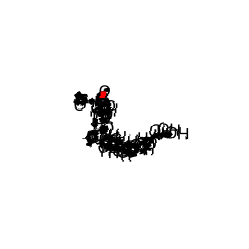 C=C1CO[C@@H](CC[C@]23C[C@@H](OC)C(O2)C2C[C@@H](O3)[C@H]3O[C@@H](CC(=O)O[C@@H]4[C@@H](C)[C@@H]5O[C@@H]6C[C@]7(C[C@@H]8O[C@]9(C[C@H](C)[C@@H]%10O[C@H]([C@@H](O)C[C@@H](O)CO)C[C@@H]%10O9)C[C@H](C)[C@@H]8O7)O[C@@H]6C[C@@H]5O[C@H]4C[C@H]4O[C@@H](CCC)C[C@@H](C)C4=C)CC[C@@H]3O2)C1